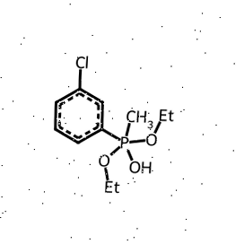 CCOP(C)(O)(OCC)c1cccc(Cl)c1